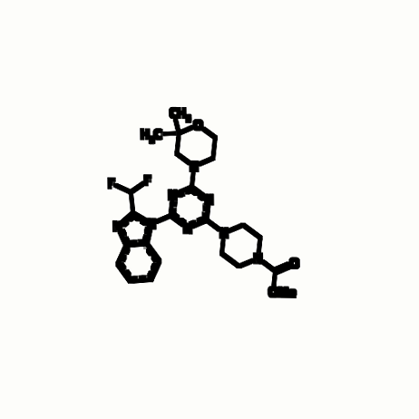 COC(=O)N1CCN(c2nc(N3CCOC(C)(C)C3)nc(-n3c(C(F)F)nc4ccccc43)n2)CC1